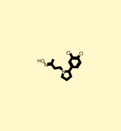 C/C(CCN1CCCC1c1ccc(Cl)c(Cl)c1)=N\O